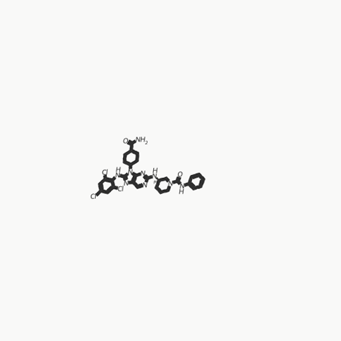 NC(=O)C1CCC(n2c(Nc3c(Cl)cc(Cl)cc3Cl)nc3cnc(N[C@@H]4CCCN(C(=O)Nc5ccccc5)C4)nc32)CC1